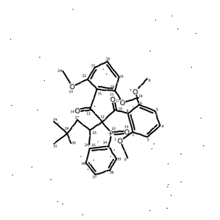 COc1cccc(OC)c1C(=O)C(C(=O)c1c(OC)cccc1OC)(C(C)CC(C)(C)C)[P](=O)c1ccccc1